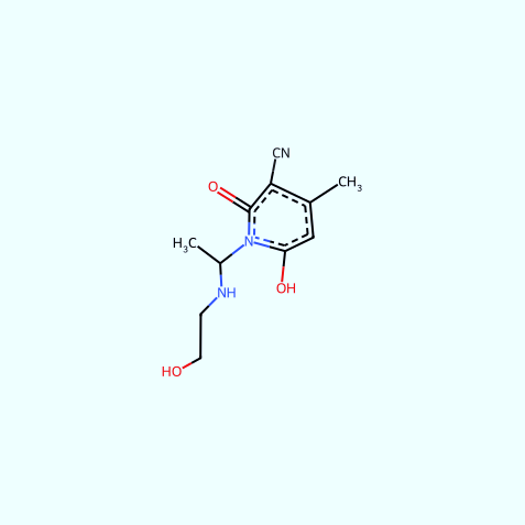 Cc1cc(O)n(C(C)NCCO)c(=O)c1C#N